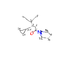 CC(C)C(CC(=O)N1CCCC1)C1CC1